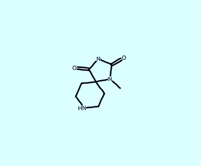 CN1C(=O)[N]C(=O)C12CCNCC2